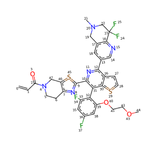 C=CC(=O)N1CCc2nc(-c3nc(-c4cnc5c(c4)CN(C)CC5(F)F)c4ccsc4c3-c3c(F)cc(F)cc3OCCOC)sc2C1